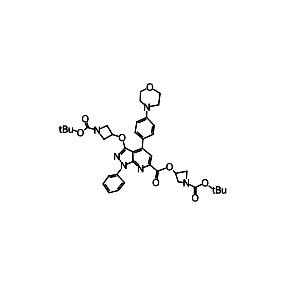 CC(C)(C)OC(=O)N1CC(OC(=O)c2cc(-c3ccc(N4CCOCC4)cc3)c3c(OC4CN(C(=O)OC(C)(C)C)C4)nn(-c4ccccc4)c3n2)C1